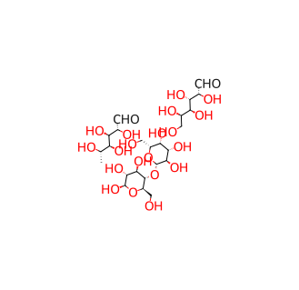 C[C@H](O)[C@H](O)[C@@H](O)[C@@H](O)C=O.O=C[C@H](O)[C@@H](O)[C@@H](O)[C@H](O)CO.OC[C@H]1O[C@@H](O[C@H]2[C@H](O)[C@@H](O)[C@H](O)O[C@@H]2CO)[C@H](O)[C@@H](O)[C@H]1O